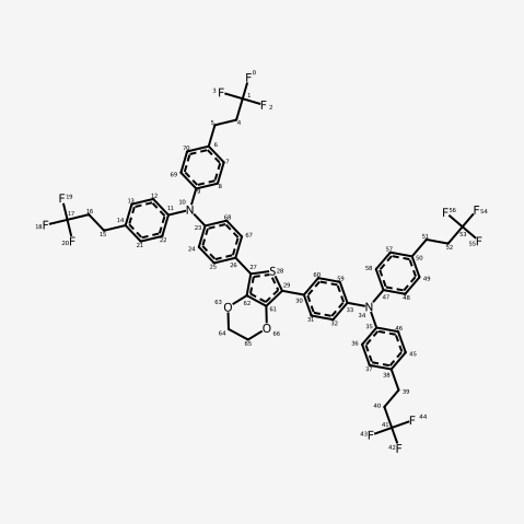 FC(F)(F)CCc1ccc(N(c2ccc(CCC(F)(F)F)cc2)c2ccc(-c3sc(-c4ccc(N(c5ccc(CCC(F)(F)F)cc5)c5ccc(CCC(F)(F)F)cc5)cc4)c4c3OCCO4)cc2)cc1